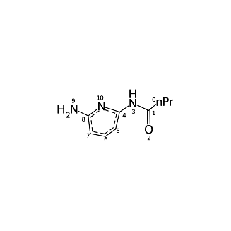 CCCC(=O)Nc1cccc(N)n1